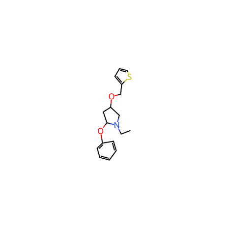 CCN1CC(OCc2cccs2)CC1Oc1ccccc1